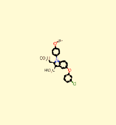 CC(C)Oc1ccc(-n2c(CC(=O)O)c(C(=O)O)c3cc(Oc4cccc(Cl)c4)ccc32)cc1